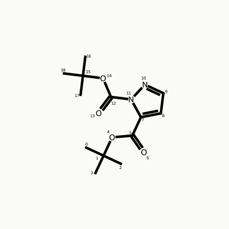 CC(C)(C)OC(=O)c1ccnn1C(=O)OC(C)(C)C